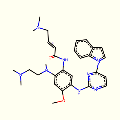 COc1cc(N(C)CCN(C)C)c(NC(=O)/C=C/CN(C)C)cc1Nc1nccc(-n2ccc3ccccc32)n1